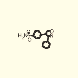 NS(=O)(=O)c1ccc(-c2conc2-c2ccccc2)cc1